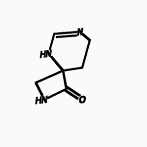 O=C1NCC12CCN=CN2